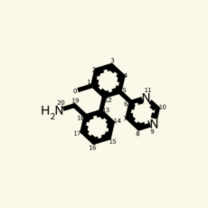 Cc1cccc(-c2ccncn2)c1-c1ccccc1CN